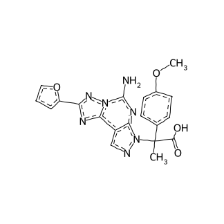 COc1ccc(C(C)(C(=O)O)n2ncc3c2nc(N)n2nc(-c4ccco4)nc32)cc1